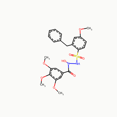 COc1ccc(S(=O)(=O)NN(O)C(=O)c2cc(OC)c(OC)c(OC)c2)c(Cc2ccccc2)c1